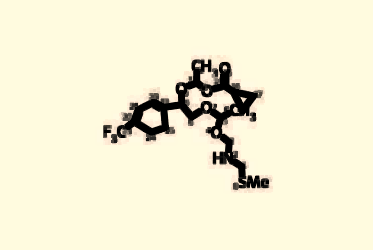 CSCNCOC(C)OCC(OC(C)OC(=O)C1CC1)C1=CC=C(C(F)(F)F)CC1